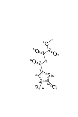 COC(=O)C(=O)CC(=O)c1cc(Br)c(Cl)s1